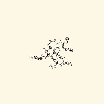 CCOc1cc2c(cc1OC)-c1c/c(=N\c3c(C)cc(C)cc3C)n(CCNC=O)c(=O)n1CCC2